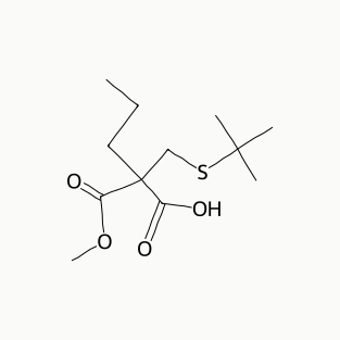 CCCC(CSC(C)(C)C)(C(=O)O)C(=O)OC